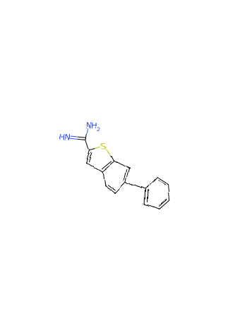 N=C(N)c1cc2ccc(-c3ccccc3)cc2s1